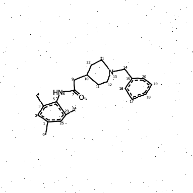 Cc1cc(C)c(NC(=O)CC2CCN(Cc3ccccc3)CC2)c(C)c1